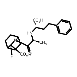 C[C@H](N[C@@H](CCc1ccccc1)C(=O)O)C(=O)N1C2CCC(CC2)[C@H]1C(=O)O